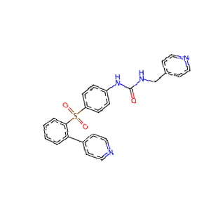 O=C(NCc1ccncc1)Nc1ccc(S(=O)(=O)c2ccccc2-c2ccncc2)cc1